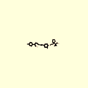 Cc1cc(C#Cc2ccc(-c3ccc(Cl)cc3)cn2)ccc1OCCC1(C2(CN)CC2)CCCC1